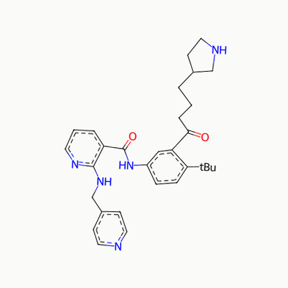 CC(C)(C)c1ccc(NC(=O)c2cccnc2NCc2ccncc2)cc1C(=O)CCCC1CCNC1